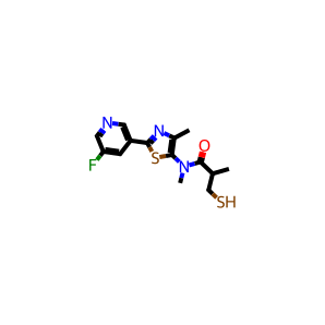 Cc1nc(-c2cncc(F)c2)sc1N(C)C(=O)C(C)CS